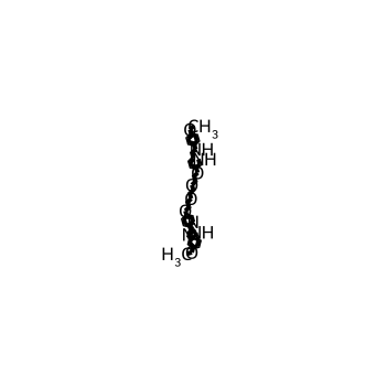 COc1ccc(NCC2=CC=C(OCCOCCOCCOc3ccc(-c4nc5cc(OC)ccc5[nH]4)nc3)CN2)cc1